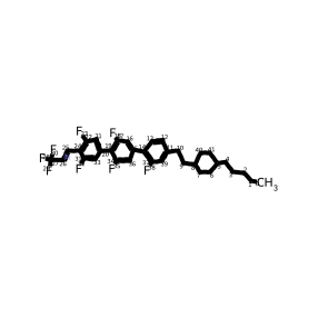 CCCCCC1CCC(CCc2ccc(-c3cc(F)c(-c4cc(F)c(/C=C/C(F)(F)F)c(F)c4)c(F)c3)c(F)c2)CC1